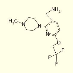 CN1CCN(c2nc(OCC(F)(F)F)ccc2CN)CC1